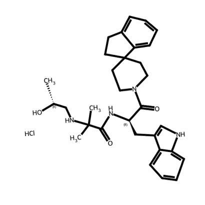 C[C@@H](O)CNC(C)(C)C(=O)N[C@H](Cc1c[nH]c2ccccc12)C(=O)N1CCC2(CCc3ccccc32)CC1.Cl